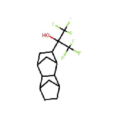 OC(C1CC2CC1C1C3CCC(C3)C21)(C(F)(F)F)C(F)(F)F